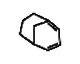 C1=CC2CCCC(=C1)C2